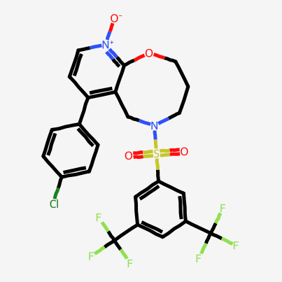 O=S(=O)(c1cc(C(F)(F)F)cc(C(F)(F)F)c1)N1CCCOc2c(c(-c3ccc(Cl)cc3)cc[n+]2[O-])C1